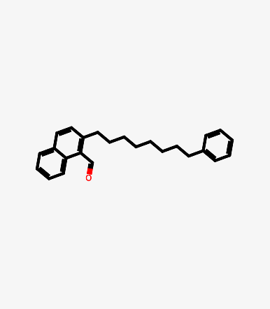 O=Cc1c(CCCCCCCCc2ccccc2)ccc2ccccc12